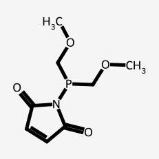 COCP(COC)N1C(=O)C=CC1=O